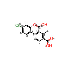 Cc1c(C(=O)O)ccc(-c2ccc(Cl)cc2)c1C(=O)O